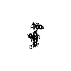 O=C(N[C@@H](CCN1CCC2(CC1)C(=O)N(Cc1ccc(Br)cc1)C(=O)N2c1ccccc1)c1ccccc1)C1CC1